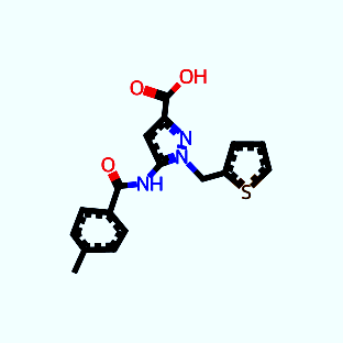 Cc1ccc(C(=O)Nc2cc(C(=O)O)nn2Cc2cccs2)cc1